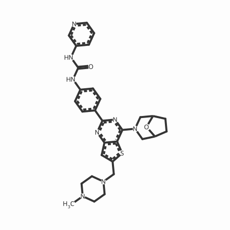 CN1CCN(Cc2cc3nc(-c4ccc(NC(=O)Nc5cccnc5)cc4)nc(N4CC5CCC(C4)O5)c3s2)CC1